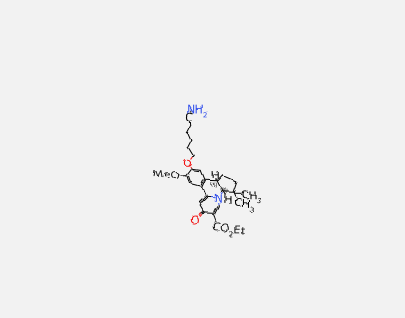 CCOC(=O)c1cn2c(cc1=O)-c1cc(OC)c(OCCCCCCN)cc1[C@@H]1CCC(C)(C)[C@@H]12